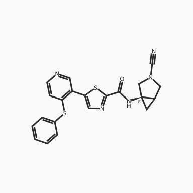 N#CN1CC2C[C@]2(NC(=O)c2ncc(-c3cnccc3Sc3ccccc3)s2)C1